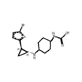 O=C(O)NC1CCC(N[C@@H]2C[C@H]2c2ccc(Br)s2)CC1